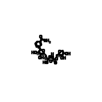 NC(=O)C1=CN(C2O[C@H](COP(=O)(O)OP(=O)(O)OC[C@H]3OC[C@H](O)[C@@H]3O)[C@@H](O)[C@H]2O)C=CC1